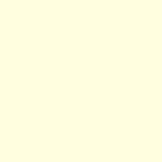 C=CC(=O)OC(I)c1ccccc1CCc1cc2ccccc2c2c1sc1ccc3ccccc3c12